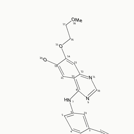 C#Cc1cccc(Nc2ncnc3cc(OCCOC)c([O])cc23)c1